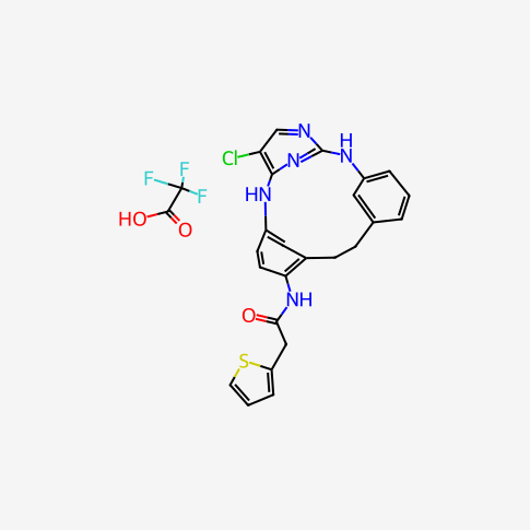 O=C(Cc1cccs1)Nc1ccc2cc1CCc1cccc(c1)Nc1ncc(Cl)c(n1)N2.O=C(O)C(F)(F)F